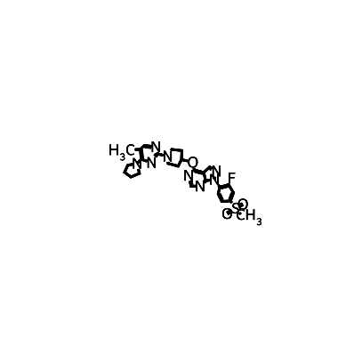 Cc1cnc(N2CCC(Oc3ncnc4c3cnn4-c3ccc(S(C)(=O)=O)cc3F)CC2)nc1N1CCCC1